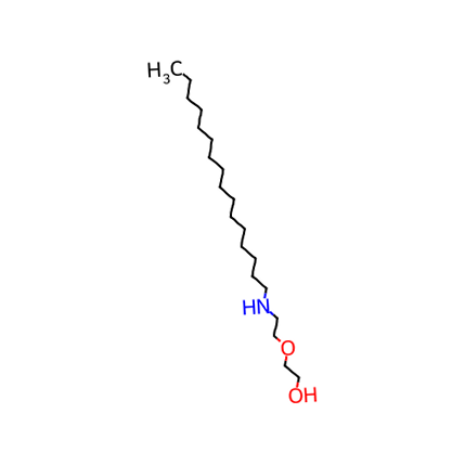 CCCCCCCCCCCCCCCCNCCOCCO